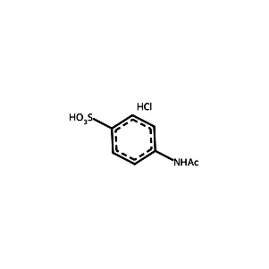 CC(=O)Nc1ccc(S(=O)(=O)O)cc1.Cl